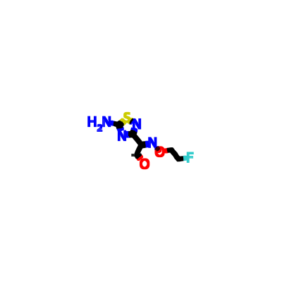 Nc1nc(C([C]=O)=NOCCF)ns1